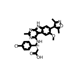 COc1cc2c(cc1-c1c(C)noc1C)[nH]c1nc(C)nc(N[C@H](CC(=O)O)c3ccc(Cl)cc3)c12